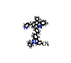 N#Cc1ccc2c(c1)c1cc(-c3ccc(-c4nc5ccccc5c5c6ccccc6c6cc(-c7cccnc7)ccc6c45)cc3)ccc1n2-c1ccccc1